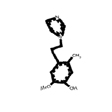 COc1cc(CCn2ccnc2)c(C)cc1O